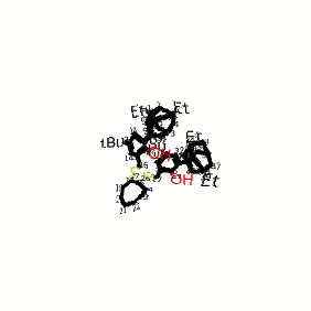 CCC12CC3CC(CC)(C1)CC(c1cc(C(C)(C)C)cc(CSC4CCCCCCC4SCc4cc(C(C)(C)C)cc(C56CC7CC(CC)(CC(CC)(C7)C5)C6)c4O)c1O)(C3)C2